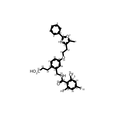 Cc1oc(-c2ccccc2)nc1CCOc1ccc(CCC(=O)O)c(CNC(=O)c2c(F)cc(F)cc2C(F)(F)F)c1